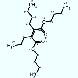 CCCCOC(=O)/C(CCC)=C(/CCCC)C(=O)OCCCC